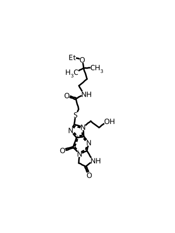 CCOC(C)(C)CCNC(=O)CSc1nc2c(=O)n3c(nc2n1CCO)NC(=O)C3